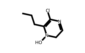 CCCC1=C(Cl)N=CCN1O